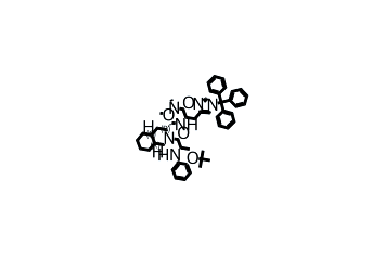 CON(C)C(=O)C(Cc1cn(C(c2ccccc2)(c2ccccc2)c2ccccc2)cn1)NC[C@H]1C[C@@H]2CCCC[C@H]2CN1C(=O)C(C)Nc1ccccc1OC(C)(C)C